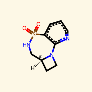 O=S1(=O)NC[C@@H]2CCN2c2ncccc21